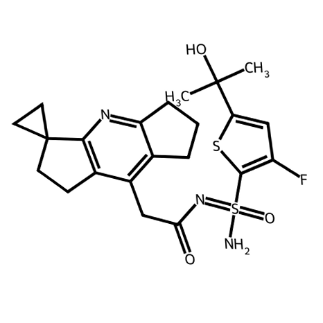 CC(C)(O)c1cc(F)c(S(N)(=O)=NC(=O)Cc2c3c(nc4c2CCC42CC2)CCC3)s1